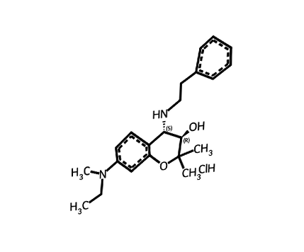 CCN(C)c1ccc2c(c1)OC(C)(C)[C@H](O)[C@H]2NCCc1ccccc1.Cl